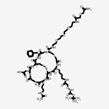 CC(C)(C)OC(=O)NOCC(=O)NCCCC[C@@H]1NC(=O)CSC[C@@H](C(=O)NCCOCCOCCOCCNC(=O)COCC(N)=O)NC(=O)[C@H](Cc2ccccc2)NC(=O)[C@@H]2CSSC[C@H](NC1=O)C(=O)N[C@@H](CCCNC(N)=O)C(=O)NCC(=O)N[C@@H](CC(=O)O)C(=O)N2